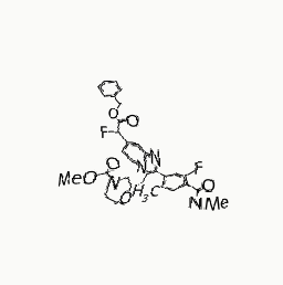 CNC(=O)c1cc(C)c(-c2nc3cc(C(F)C(=O)OCc4ccccc4)ccn3c2C[C@H]2CN(C(=O)OC)CCO2)cc1F